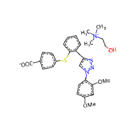 COc1ccc(-n2cc(-c3ccccc3Sc3ccc(C(=O)[O-])cc3)nn2)c(OC)c1.C[N+](C)(C)CCO